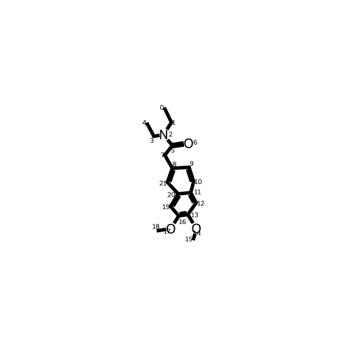 CCN(CC)C(=O)Cc1ccc2cc(OC)c(OC)cc2c1